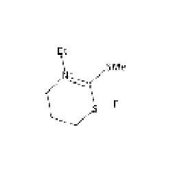 CC[N+]1=C(SC)SCCC1.[I-]